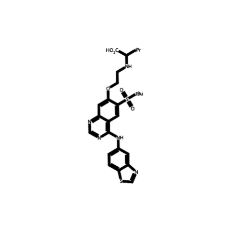 CC(C)C(NCCOc1cc2ncnc(Nc3ccc4scnc4c3)c2cc1S(=O)(=O)C(C)(C)C)C(=O)O